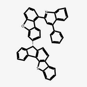 c1ccc(-c2cc(-c3cccc4oc5cc([C@H]6c7ccccc7-c7c6ccc6c7sc7ccccc76)ccc5c34)nc3ccccc23)cc1